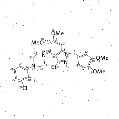 CCc1nn(Cc2ccc(OC)c(OC)c2)c2cc(OC)c(OC)c(N3CCN(c4cccc(Cl)c4C)CC3)c12